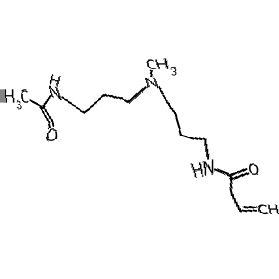 C=CC(=O)NCCCN(C)CCCNC(C)=O